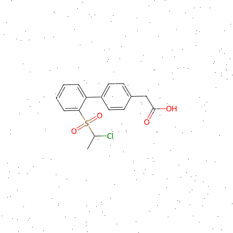 CC(Cl)S(=O)(=O)c1ccccc1-c1ccc(CC(=O)O)cc1